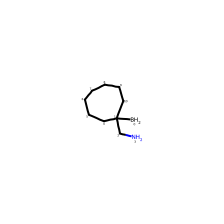 BC1(CN)CCCCCCC1